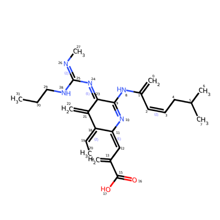 C=C(/C=C\CC(C)C)NC1=NC(=C/C(=C)C(=O)O)/C(=C\C)C(=C)/C1=N\C(=N/C)NCCC